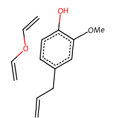 C=CCc1ccc(O)c(OC)c1.C=COC=C